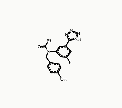 CCC(=O)N(Cc1ccc(O)cc1)c1cc(F)cc(-c2nnn[nH]2)c1